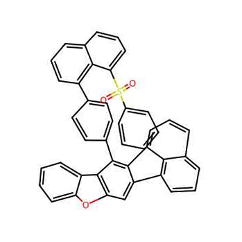 O=S(=O)(c1ccccc1)c1cccc2cccc(-c3ccc(-c4c5c(cc6oc7ccccc7c46)-c4cccc6cccc-5c46)cc3)c12